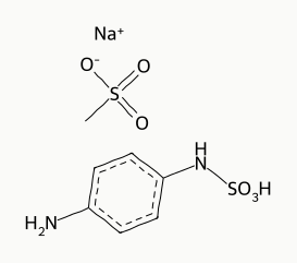 CS(=O)(=O)[O-].Nc1ccc(NS(=O)(=O)O)cc1.[Na+]